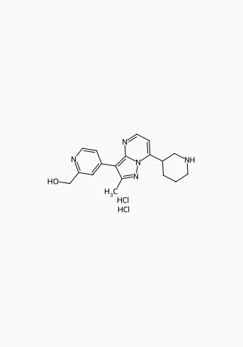 Cc1nn2c(C3CCCNC3)ccnc2c1-c1ccnc(CO)c1.Cl.Cl